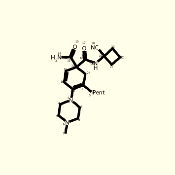 CCCC(C)C1=C(N2CCN(C)CC2)C=CC(C(N)=O)(C(=O)NC2(C#N)CCC2)C1